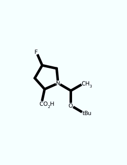 CC(OC(C)(C)C)N1CC(F)CC1C(=O)O